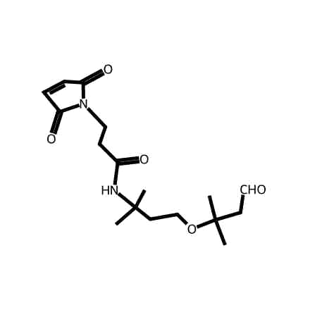 CC(C)(CCOC(C)(C)CC=O)NC(=O)CCN1C(=O)C=CC1=O